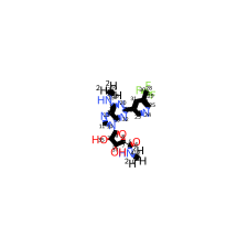 [2H]C([2H])([2H])NC(=O)[C@H]1O[C@@H](n2cnc3c(NC([2H])([2H])[2H])nc(-c4cncc(C(F)(F)F)c4)nc32)[C@H](O)[C@@H]1O